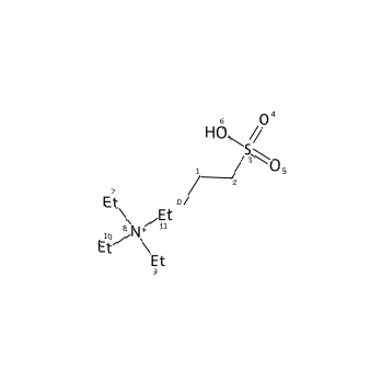 CCCS(=O)(=O)O.CC[N+](CC)(CC)CC